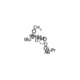 Cc1ccc(-n2nc(C(C)(C)C)cc2NC(=O)NC2CCCC(Oc3ccc4nnc(C(C)C)n4c3)c3ccccc32)cc1